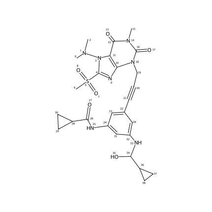 CN(C)n1c(S(C)(=O)=O)nc2c1c(=O)n(C)c(=O)n2CC#Cc1cc(NC(=O)C2CC2)cc(NC(O)C2CC2)c1